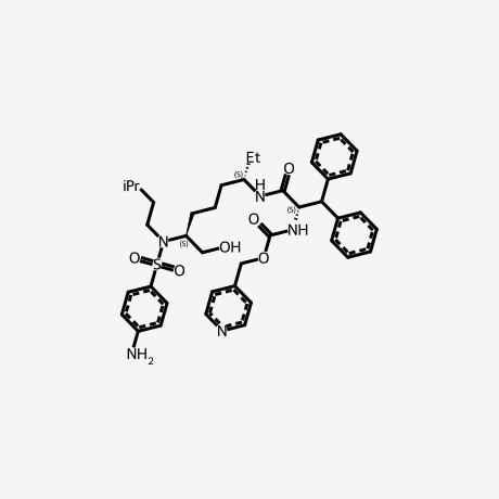 CC[C@@H](CCC[C@@H](CO)N(CCC(C)C)S(=O)(=O)c1ccc(N)cc1)NC(=O)[C@@H](NC(=O)OCc1ccncc1)C(c1ccccc1)c1ccccc1